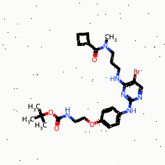 CN(CCCNc1nc(Nc2ccc(OCCNC(=O)OC(C)(C)C)cc2)ncc1Br)C(=O)C1CCC1